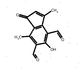 CC1=CC(=O)c2c(C)c(C=O)c(O)c(C=O)c21